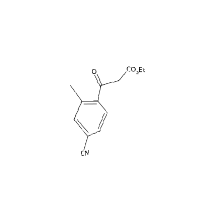 CCOC(=O)CC(=O)c1ccc(C#N)cc1C